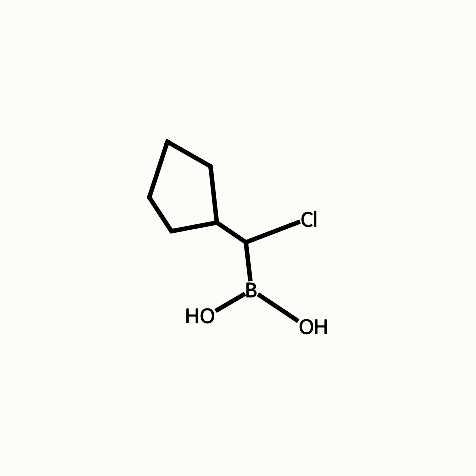 OB(O)C(Cl)C1CCCC1